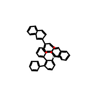 c1ccc(-c2ccccc2-c2c(-c3ccccc3)cccc2N(c2ccccc2)c2ccc(-c3ccc4ccccc4c3)cc2)cc1